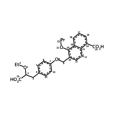 CCOC(Cc1ccc(OCc2cnc3c(C(=O)O)cccc3c2OC(C)C)cc1)C(=O)O